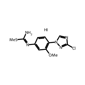 COc1cc(N=C(N)SC)ccc1-n1cnc(Cl)n1.I